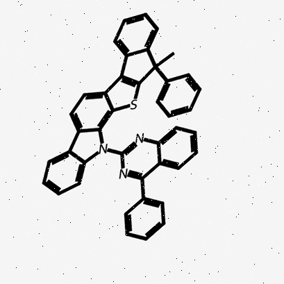 CC1(c2ccccc2)c2ccccc2-c2c1sc1c2ccc2c3ccccc3n(-c3nc(-c4ccccc4)c4ccccc4n3)c21